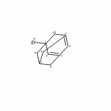 CCC12C=C3C=C(CC(C3)C1)C2